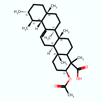 CC(=O)O[C@H]1CC[C@@]2(C)C(CC[C@]3(C)[C@@H]2CC=C2[C@@H]4[C@@H](C)[C@H](C)CC[C@]4(C)CC[C@]23C)C1(C)C(=O)O